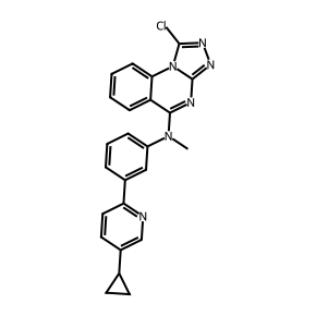 CN(c1cccc(-c2ccc(C3CC3)cn2)c1)c1nc2nnc(Cl)n2c2ccccc12